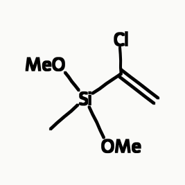 C=C(Cl)[Si](C)(OC)OC